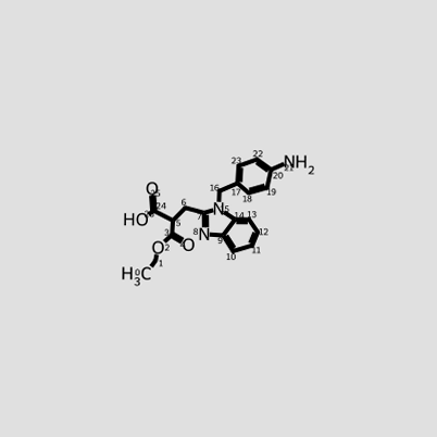 CCOC(=O)C(Cc1nc2ccccc2n1Cc1ccc(N)cc1)C(=O)O